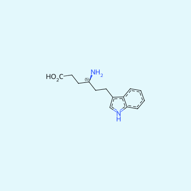 N[C@H](CCC(=O)O)CCc1c[nH]c2ccccc12